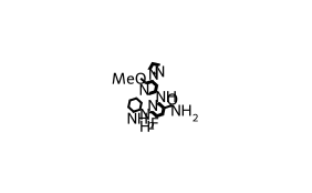 COc1ncc(Nc2nc(NC3CCCC[C@@H]3N)c(F)cc2C(N)=O)cc1-n1cccn1